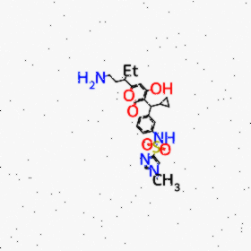 CCC(CCN)c1cc(O)c(C(c2cccc(NS(=O)(=O)c3cn(C)cn3)c2)C2CC2)c(=O)o1